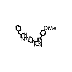 COc1ccc(-c2cc3c(N4CCN(c5ncc(Cc6ccccc6)cn5)CC4)ncnn3c2)cc1